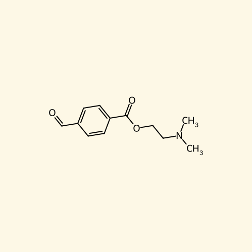 CN(C)CCOC(=O)c1ccc(C=O)cc1